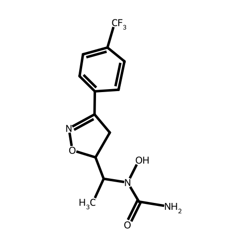 CC(C1CC(c2ccc(C(F)(F)F)cc2)=NO1)N(O)C(N)=O